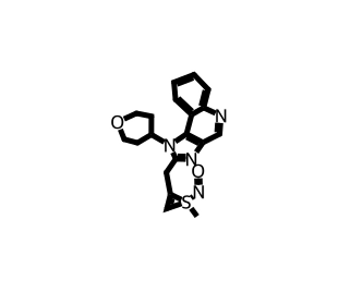 CS1(N=O)C=C1Cc1nc2cnc3ccccc3c2n1C1CCOCC1